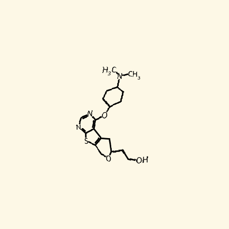 CN(C)C1CCC(Oc2ncnc3sc4c(c23)CC(CCO)OC4)CC1